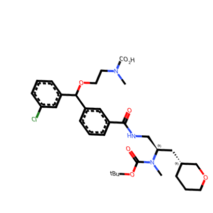 CN(CCOC(c1cccc(Cl)c1)c1cccc(C(=O)NC[C@@H](C[C@H]2CCCOC2)N(C)C(=O)OC(C)(C)C)c1)C(=O)O